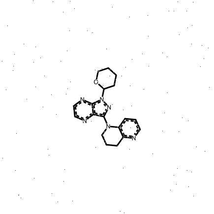 c1cnc2c(c1)N(c1nn(C3CCCCO3)c3nccnc13)CCC2